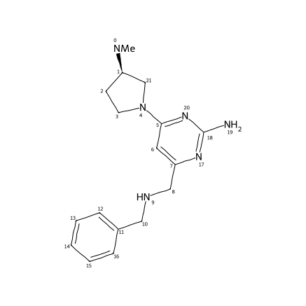 CN[C@@H]1CCN(c2cc(CNCc3ccccc3)nc(N)n2)C1